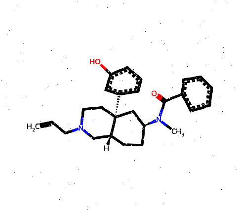 C=CCN1CC[C@@]2(c3cccc(O)c3)C[C@@H](N(C)C(=O)c3ccccc3)CC[C@@H]2C1